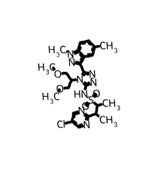 COCC(COC)n1c(NS(=O)(=O)C(C)C(C)c2ncc(Cl)cn2)nnc1-c1nn(C)c2ccc(C)cc12